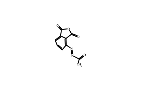 CC(=O)N=Nc1cccc2c1C(=O)OC2=O